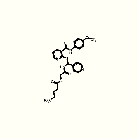 O=C(O)CCCC(=O)OCC(=O)NC(Sc1ncccc1C(=O)Nc1ccc(OC(F)(F)F)cc1)c1ccncc1